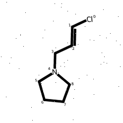 ClC=CCN1CCCC1